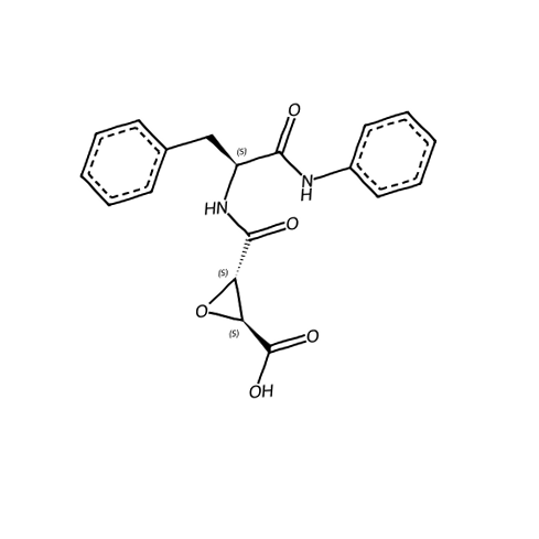 O=C(Nc1ccccc1)[C@H](Cc1ccccc1)NC(=O)[C@H]1O[C@@H]1C(=O)O